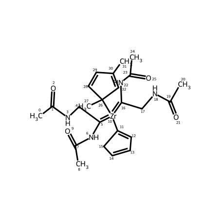 CC(=O)NC[C](NC(C)=O)=[Zr]([C]1=CC=CC1)(=[C](CNC(C)=O)NC(C)=O)[C]1(C)C=CC(C)=C1